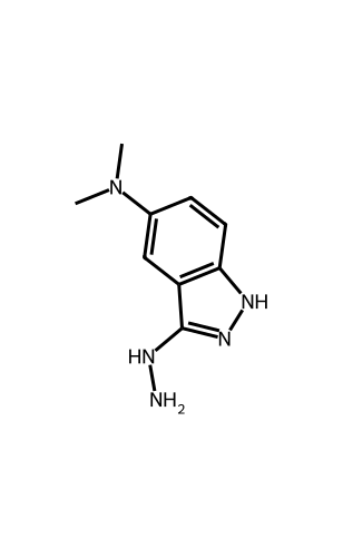 CN(C)c1ccc2[nH]nc(NN)c2c1